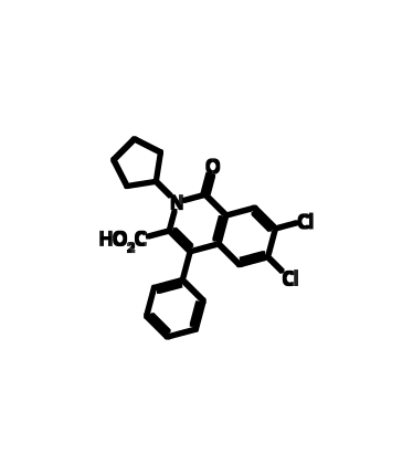 O=C(O)c1c(-c2ccccc2)c2cc(Cl)c(Cl)cc2c(=O)n1C1CCCC1